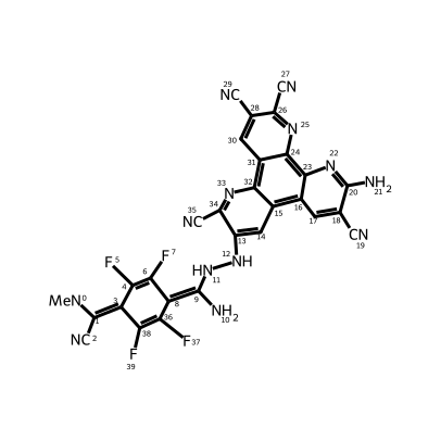 CNC(C#N)=c1c(F)c(F)c(=C(N)NNc2cc3c4cc(C#N)c(N)nc4c4nc(C#N)c(C#N)cc4c3nc2C#N)c(F)c1F